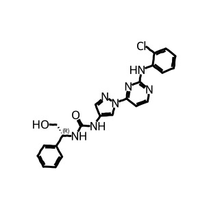 O=C(Nc1cnn(-c2ccnc(Nc3ccccc3Cl)n2)c1)N[C@@H](CO)c1ccccc1